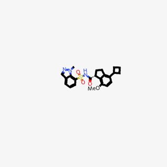 COc1ccc(C2CCC2)c2c1[C@H](C(=O)NS(=O)(=O)c1cccc3cnn(C)c13)CC2